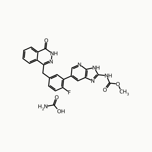 COC(=O)Nc1nc2cc(-c3cc(Cc4n[nH]c(=O)c5ccccc45)ccc3F)cnc2[nH]1.NC(=O)O